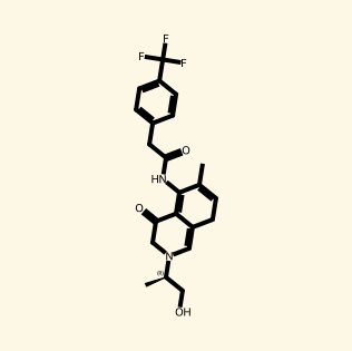 CC1=CCC2=CN([C@H](C)CO)CC(=O)C2=C1NC(=O)Cc1ccc(C(F)(F)F)cc1